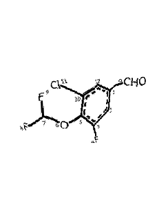 O=Cc1cc(F)c(OC(F)F)c(Cl)c1